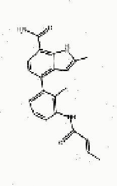 CC=CC(=O)Nc1cccc(-c2ccc(C(N)=O)c3[nH]c(C)cc23)c1C